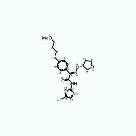 COCCCSc1ccc(/C(=N\O[C@@H]2CCOC2)C(=O)Nc2ncc(F)s2)cc1